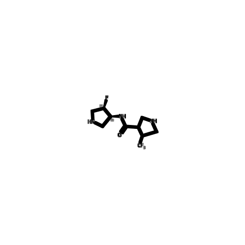 O=C(N[C@H]1CNC[C@H]1F)C1CNCC1C(F)(F)F